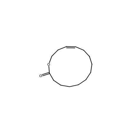 O=C1CCCCCCCCCC=CCCO1